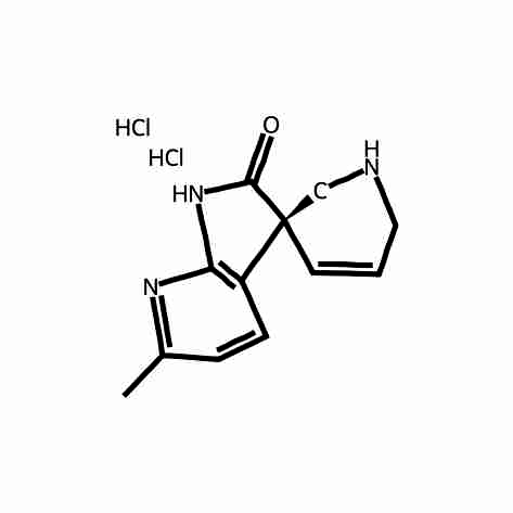 Cc1ccc2c(n1)NC(=O)[C@]21C=CCNC1.Cl.Cl